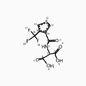 O=C(NC(C(=O)O)C(=O)O)c1cscc1C(F)(F)F